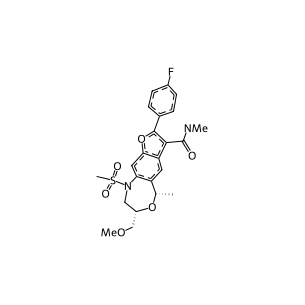 CNC(=O)c1c(-c2ccc(F)cc2)oc2cc3c(cc12)[C@H](C)O[C@H](COC)CN3S(C)(=O)=O